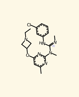 CCN1CC(Oc2cc(C)nc(N(C)/C(=N/C)Nc3cccc(Cl)c3)n2)C1